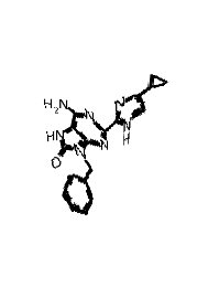 Nc1nc(-c2nc(C3CC3)c[nH]2)nc2c1[nH]c(=O)n2Cc1ccccc1